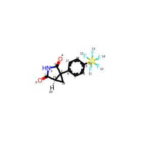 O=C1NC(=O)C2(c3ccc(S(F)(F)(F)(F)F)cc3)C[C@@H]12